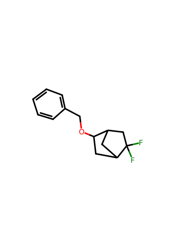 FC1(F)CC2CC1CC2OCc1ccccc1